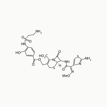 CO/N=C(\C(=O)NC1C(=O)N2C(C(=O)O)=C(COC(=O)c3ccc(NS(=O)(=O)CCN)c(O)c3)CS[C@H]12)c1csc(N)n1